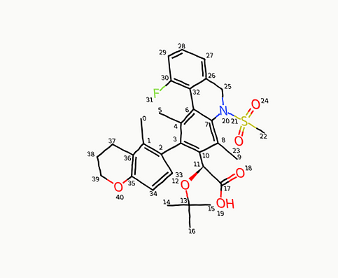 Cc1c(-c2c(C)c3c(c(C)c2[C@H](OC(C)(C)C)C(=O)O)N(S(C)(=O)=O)Cc2cccc(F)c2-3)ccc2c1CCCO2